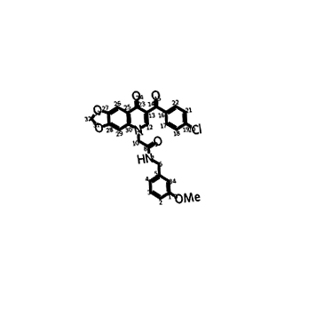 COc1cccc(CNC(=O)Cn2cc(C(=O)c3ccc(Cl)cc3)c(=O)c3cc4c(cc32)OCO4)c1